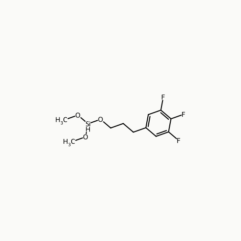 CO[SiH](OC)OCCCc1cc(F)c(F)c(F)c1